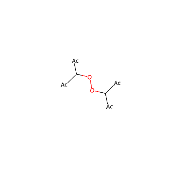 CC(=O)C(OOC(C(C)=O)C(C)=O)C(C)=O